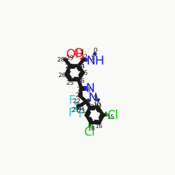 CNC(=O)c1cc(C2=NN(C)C(c3cc(Cl)cc(Cl)c3)(C(F)(F)F)C2)ccc1CO